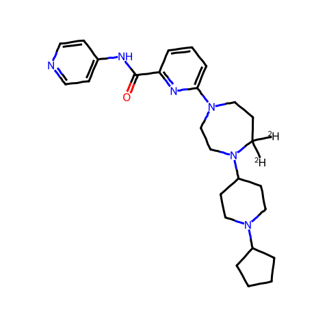 [2H]C1([2H])CCN(c2cccc(C(=O)Nc3ccncc3)n2)CCN1C1CCN(C2CCCC2)CC1